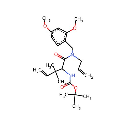 C=CCN(Cc1ccc(OC)cc1OC)C(=O)C(NC(=O)OC(C)(C)C)C(C)(C)C=C